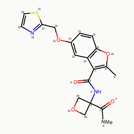 CNC(=O)C1(NC(=O)c2c(C)oc3ccc(OCc4nccs4)cc23)COC1